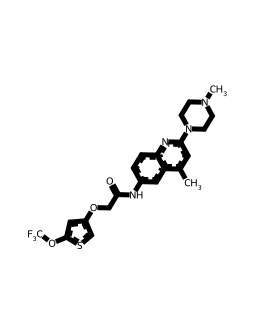 Cc1cc(N2CCN(C)CC2)nc2ccc(NC(=O)COc3csc(OC(F)(F)F)c3)cc12